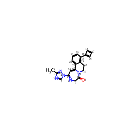 Cc1ncn(C2=NCC(=O)N3CCc4c(C5=CC=C5)cccc4C3=C2)n1